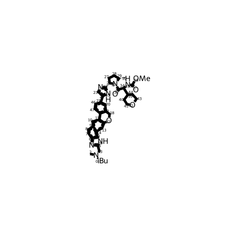 CC[C@H](C)N(C)Cc1nc2ccc3cc4c(cc3c2[nH]1)OCc1cc(-c2cnc([C@@H]3CC[C@H](C)N3C(=O)C(NC(=O)OC)C3CCOCC3)[nH]2)ccc1-4